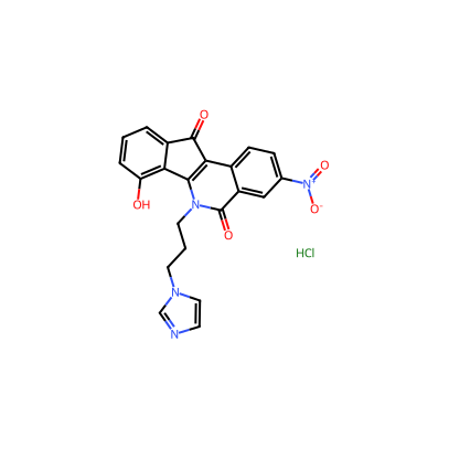 Cl.O=C1c2cccc(O)c2-c2c1c1ccc([N+](=O)[O-])cc1c(=O)n2CCCn1ccnc1